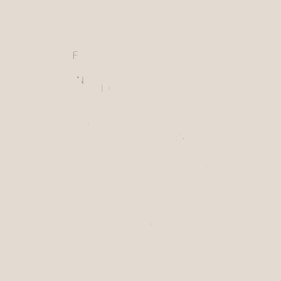 CCN(CC)C(C)Sc1ccc(C(=O)c2cccc3ccccc23)cc1